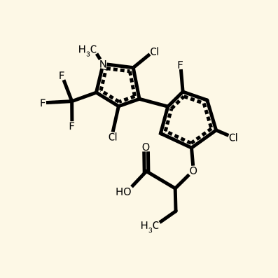 CCC(Oc1cc(-c2c(Cl)c(C(F)(F)F)n(C)c2Cl)c(F)cc1Cl)C(=O)O